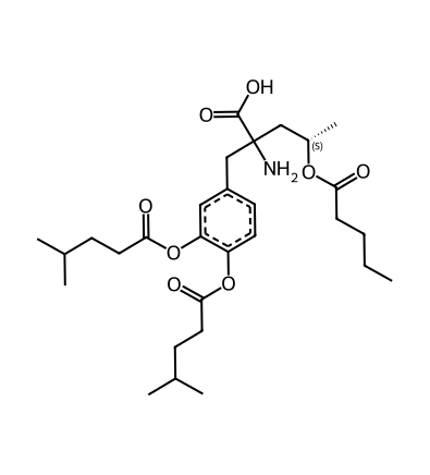 CCCCC(=O)O[C@@H](C)CC(N)(Cc1ccc(OC(=O)CCC(C)C)c(OC(=O)CCC(C)C)c1)C(=O)O